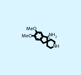 COc1cc2c(cc1OC)[C@@H](N)C1(CCNCC1)C2